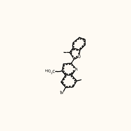 Cc1c(-c2cc(C(=O)O)c3cc(Br)cc(C)c3n2)oc2ccccc12